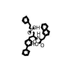 O=C(NC(Cc1ccc2ccccc2c1)C(=O)O)C(Cc1ccc(-c2ccccc2)cc1)CP(=O)(O)CCc1ccccc1